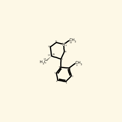 Cc1ccccc1C1CN(C)CC[C@H]1C